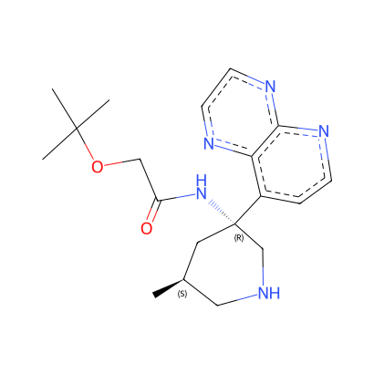 C[C@@H]1CNC[C@](NC(=O)COC(C)(C)C)(c2ccnc3nccnc23)C1